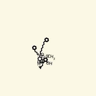 COc1cc(O)c2c3c1O[C@H]1[C@H](N(CCCc4ccccc4)C(=O)CCCCCCCc4ccccc4)CC[C@H]4[C@@H](C2)N(CC2CC2)CC[C@@]341